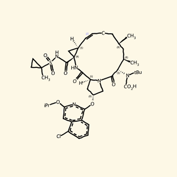 CC(C)Oc1cc2c(Cl)cccc2c(O[C@@H]2C[C@H]3C(=O)N[C@]4(C(=O)NS(=O)(=O)C5(C)CC5)C[C@H]4/C=C\CC[C@@H](C)C[C@@H](C)[C@H](N(C(=O)O)C(C)(C)C)C(=O)N3C2)n1